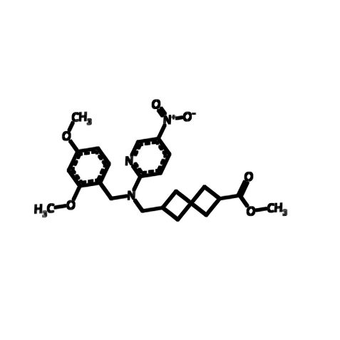 COC(=O)C1CC2(CC(CN(Cc3ccc(OC)cc3OC)c3ccc([N+](=O)[O-])cn3)C2)C1